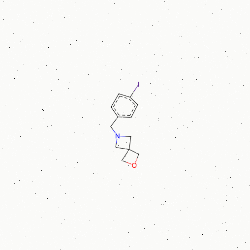 Ic1ccc(CN2CC3(COC3)C2)cc1